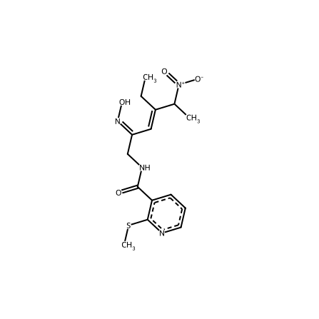 CC/C(=C\C(CNC(=O)c1cccnc1SC)=N/O)C(C)[N+](=O)[O-]